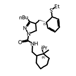 CCCCC1=NN(C(=O)NCC2CCCC[C@]2(C)C(C)C)CC1C[C@H]1C=CC=CC1SCC